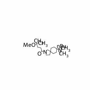 CCCCC1(N(C)C)CCC2(CCN(C(=O)CCC(C)(C)OC)C2)CC1